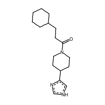 O=C(CCC1CCCCC1)N1CCC(c2c[nH]cn2)CC1